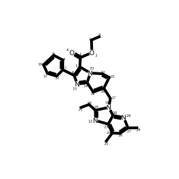 CCOC(=O)c1c(-c2ccccc2)nc2cc(Cn3c(CC)nc4c(C)cc(C)nc43)ccn12